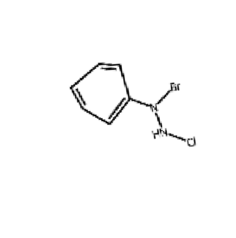 ClNN(Br)c1ccccc1